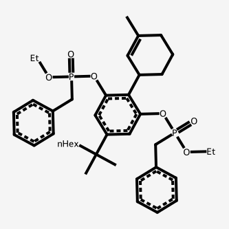 CCCCCCC(C)(C)c1cc(OP(=O)(Cc2ccccc2)OCC)c(C2C=C(C)CCC2)c(OP(=O)(Cc2ccccc2)OCC)c1